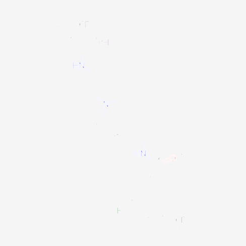 CC(C)(C(=P)NCCN1CCC(CNC(=O)c2cc(F)cc(C(F)(F)F)c2)CC1)C(F)(F)F